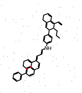 C=CC1=C2C=CCCC2=CC(c2ccc(N/C=C/C=C(\C=C/c3ccc(-c4ccccc4)cc3)C3=CCCC=C3)cc2)C1CCC